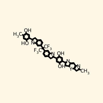 CC1=NC2=[C](C1)[Y]=[C]1CC(c3cc(O)c(C4=Nc5cc(C(c6ccc7c(c6)N=C(c6cc(O)c(C)cc6O)C7)(C(F)(F)F)C(F)(F)F)ccc5C4)cc3O)=NC1=C2